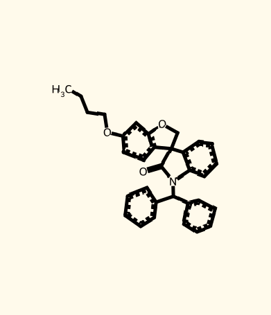 CCCCOc1ccc2c(c1)OCC21C(=O)N(C(c2ccccc2)c2ccccc2)c2ccccc21